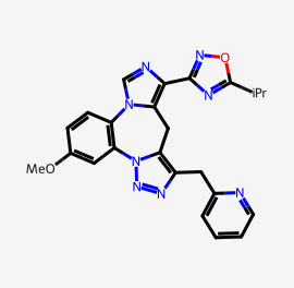 COc1ccc2c(c1)-n1nnc(Cc3ccccn3)c1Cc1c(-c3noc(C(C)C)n3)ncn1-2